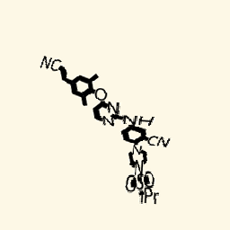 Cc1cc(/C=C/C#N)cc(C)c1Oc1ccnc(Nc2ccc(N3CCN(S(=O)(=O)C(C)C)CC3)c(C#N)c2)n1